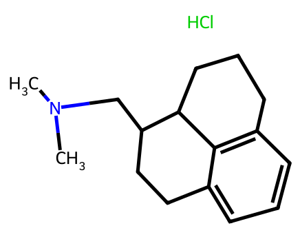 CN(C)CC1CCc2cccc3c2C1CCC3.Cl